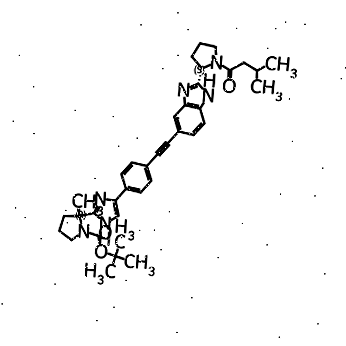 CC(C)CC(=O)N1CCC[C@H]1c1nc2cc(C#Cc3ccc(-c4c[nH]c([C@@]5(C)CCCN5C(=O)OC(C)(C)C)n4)cc3)ccc2[nH]1